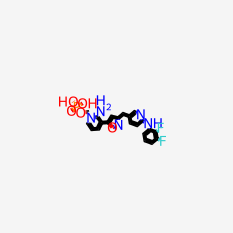 NC1C(c2cc(Cc3ccc(Nc4cccc(F)c4F)nc3)no2)=CC=CN1COP(=O)(O)O